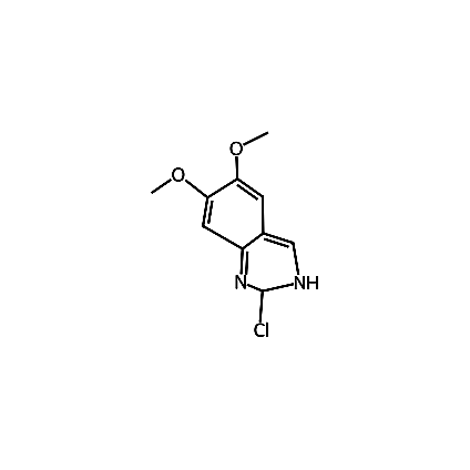 COc1cc2c(cc1OC)=NC(Cl)NC=2